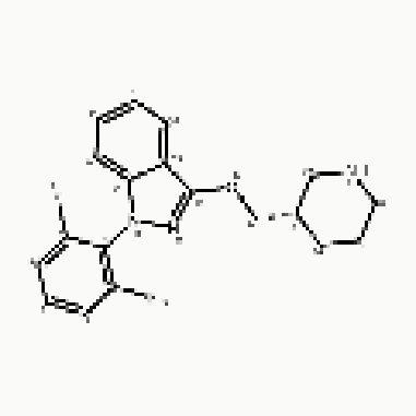 Fc1cccc(F)c1-n1nc(OC[C@H]2CCCNC2)c2ccccc21